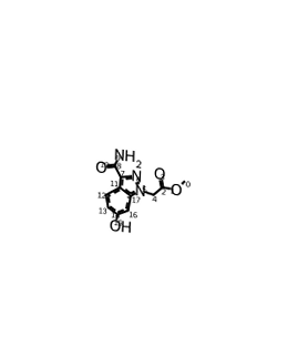 COC(=O)Cn1nc(C(N)=O)c2ccc(O)cc21